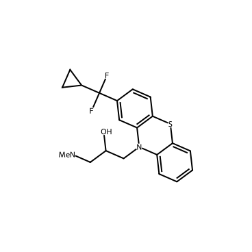 CNCC(O)CN1c2ccccc2Sc2ccc(C(F)(F)C3CC3)cc21